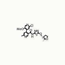 COc1cnc(Cl)cc1-c1cc(C)ncc1C(=O)Nc1nnc(OC[C@@H]2CCO[C@@H]2C)s1